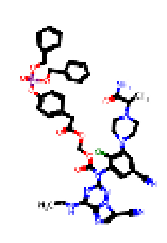 CCNc1nc(N(C(=O)OCOC(=O)Cc2ccc(OP(=O)(OCc3ccccc3)OCc3ccccc3)cc2)c2cc(C#N)cc(N3CCN(C(C)C(N)=O)CC3)c2Cl)nn2c(C#N)cnc12